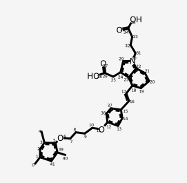 Cc1cc(C)c(OCCCCOc2ccc(C=Cc3cccc4c3c(CC(=O)O)cn4CCCC(=O)O)cc2)c(C)c1